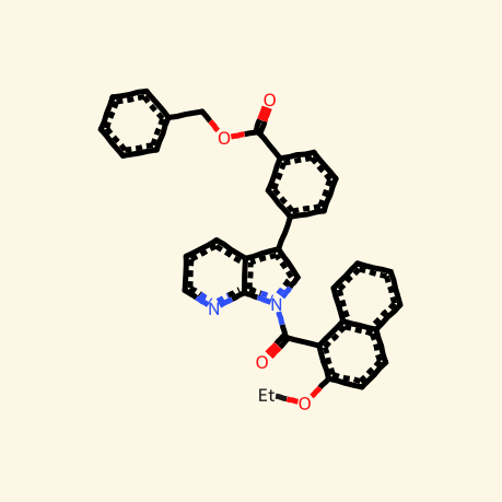 CCOc1ccc2ccccc2c1C(=O)n1cc(-c2cccc(C(=O)OCc3ccccc3)c2)c2cccnc21